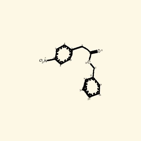 O=C(Cc1ccc([N+](=O)[O-])cc1)OCc1ccccc1